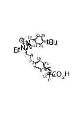 CCn1c(CCCc2ccc(SC(C)(C)C(=O)O)cc2)nn(Cc2ccc(C(C)(C)C)cc2)c1=O